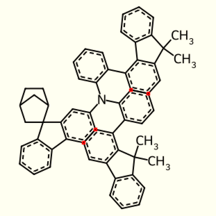 CC1(C)c2ccccc2-c2c(-c3ccccc3N(c3ccc4c(c3)C3(CC5CCC3C5)c3ccccc3-4)c3ccccc3-c3cccc4c3C(C)(C)c3ccccc3-4)cccc21